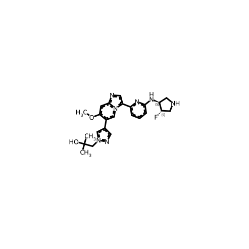 COc1cc2ncc(-c3cccc(N[C@H]4CNC[C@@H]4F)n3)n2cc1-c1cnn(CC(C)(C)O)c1